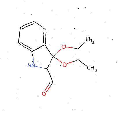 CCOC1(OCC)c2ccccc2NC1C=O